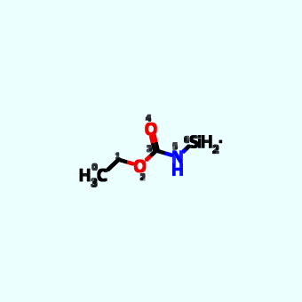 CCOC(=O)N[SiH2]